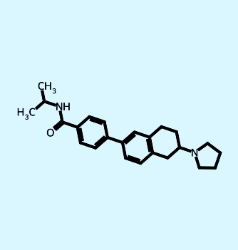 CC(C)NC(=O)c1ccc(-c2ccc3c(c2)CCC(N2CCCC2)C3)cc1